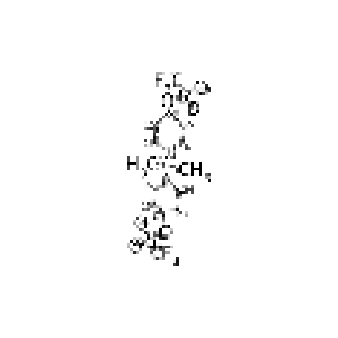 CC(C)(c1ccc(OS(=O)(=O)C(F)(F)F)cc1)c1ccc(OS(=O)(=O)C(F)(F)F)cc1